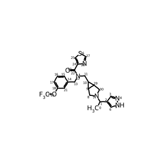 CC(c1cn[nH]c1)N1CC2C(CN(Cc3cccc(OC(F)(F)F)c3)C(=O)c3cscn3)C2C1